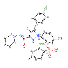 Cc1c(C(=O)NN2CCCCC2)nn(-c2ccc(Cl)cc2Cl)c1-c1ccc(Cl)cc1.Cc1ccc(S(=O)(=O)O)cc1